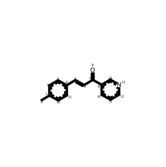 Cc1ccc(/C=C/C(=O)c2cccnc2)cc1